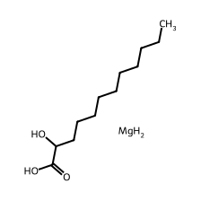 CCCCCCCCCCC(O)C(=O)O.[MgH2]